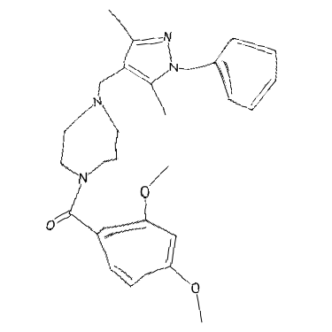 COc1ccc(C(=O)N2CCN(Cc3c(C)nn(-c4ccccc4)c3C)CC2)c(OC)c1